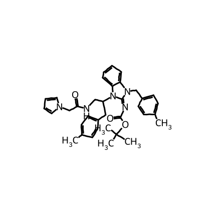 Cc1ccc(CC(CNC(=O)Cn2cccc2)n2c(=NC(=O)OC(C)(C)C)n(Cc3ccc(C)cc3)c3ccccc32)cc1